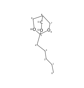 CCCCCC12OCC(CO1)CO2